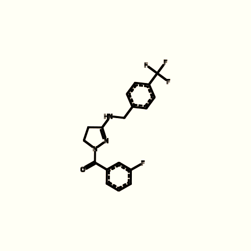 O=C(c1cccc(F)c1)N1CCC(NCc2ccc(C(F)(F)F)cc2)=N1